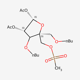 CCCCOC[C@@]1(COS(C)(=O)=O)O[C@@H](OC(C)=O)[C@@H](OC(C)=O)C1OCCCC